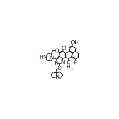 CCc1c(F)ccc2cc(O)cc(-c3cc4nc(OCC56CCCN5CCC6)nc5c4c(c3Cl)OCC3CNCCN53)c12